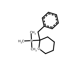 C[Si](C)(C)C1(Cc2ccccc2)CCCCO1